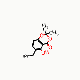 CC(C)Cc1ccc2c(c1O)C(=O)OC(C)(C)O2